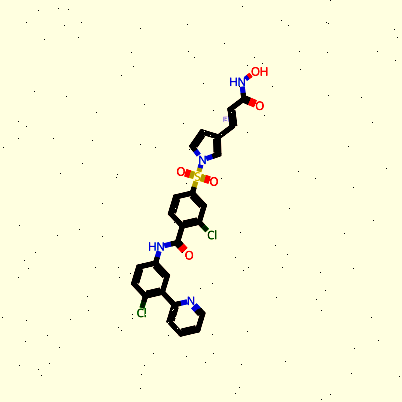 O=C(/C=C/c1ccn(S(=O)(=O)c2ccc(C(=O)Nc3ccc(Cl)c(-c4ccccn4)c3)c(Cl)c2)c1)NO